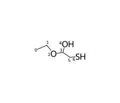 CCOC(O)CS